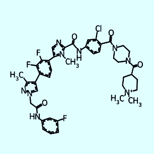 Cc1nn(CC(=O)Nc2cccc(F)c2)cc1-c1ccc(-c2cnc(C(=O)Nc3ccc(C(=O)N4CCN(C(=O)C5CC[N+](C)(C)CC5)CC4)c(Cl)c3)n2C)c(F)c1F